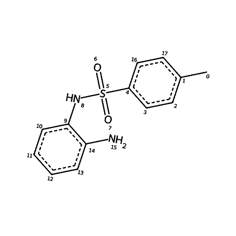 Cc1ccc(S(=O)(=O)Nc2ccccc2N)cc1